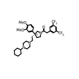 COc1ccc([C@]2(CCN3CCN(C4CCCCC4)CC3)CCN(C(=O)Cc3cc(C(F)(F)F)cc(C(F)(F)F)c3)C2)cc1OC